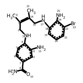 CC(CNc1ccc(C(N)=O)cc1N)=C(C)CNc1cccc(Br)c1N